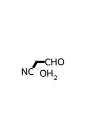 N#CCC=O.O